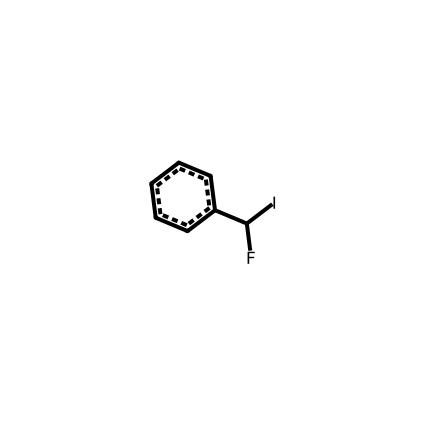 FC(I)c1ccccc1